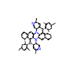 Cc1cc(C)c(B2c3cc(C)ncc3N3c4cc5ccccc5c5c4N(c4cnc(C)cc4B5c4c(C)cc(C)cc4C)c4cc5ccccc5c2c43)c(C)c1